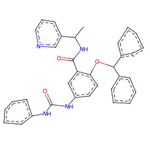 CC(NC(=O)c1cc(NC(=O)Nc2ccccc2)ccc1OC(c1ccccc1)c1ccccc1)c1cccnc1